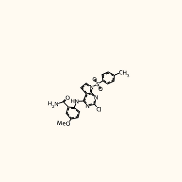 COc1ccc(Nc2nc(Cl)nc3c2ccn3S(=O)(=O)c2ccc(C)cc2)c(C(N)=O)c1